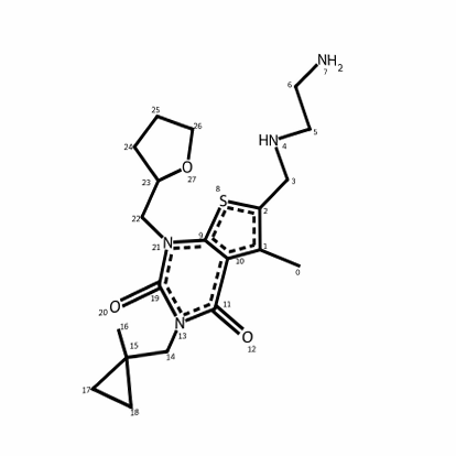 Cc1c(CNCCN)sc2c1c(=O)n(CC1(C)CC1)c(=O)n2CC1CCCO1